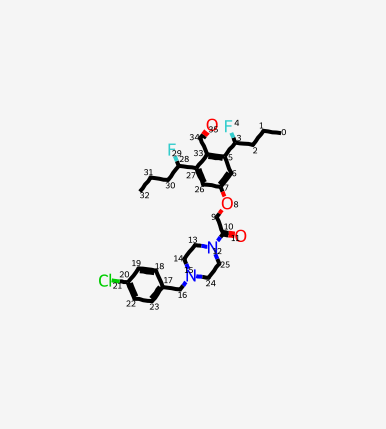 CCCC(F)c1cc(OCC(=O)N2CCN(Cc3ccc(Cl)cc3)CC2)cc(C(F)CCC)c1C=O